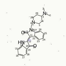 CN(C)C1CCN(CN2C(=O)/C(=C3\Nc4ccccc4C3=O)c3ccccc32)CC1